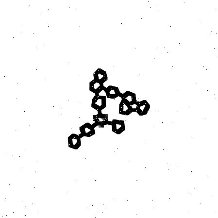 c1ccc(-c2ccc(-c3nc(-c4ccccc4)nc(-c4ccc(-c5ccc6ccccc6c5-c5ccc(-c6ccc7c8c(cccc68)-c6ccccc6-7)cc5)cc4)n3)cc2)cc1